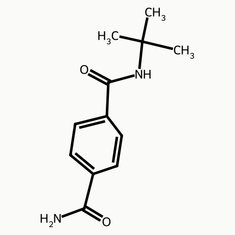 CC(C)(C)NC(=O)c1ccc(C(N)=O)cc1